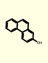 Oc1ccc2c(ccc3ccccc32)c1